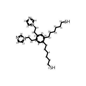 SCCCCCCc1cc(CCn2ccnc2)c(CCn2ccnc2)cc1CCCCCCS